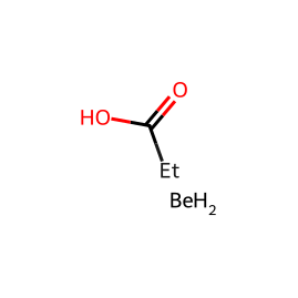 CCC(=O)O.[BeH2]